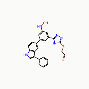 O=CCSc1nnc(-c2cc(NO)cc(-c3ccc4[nH]cc(-c5ccccc5)c4c3)c2)[nH]1